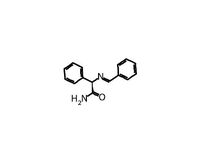 NC(=O)[C@H](/N=C/c1ccccc1)c1ccccc1